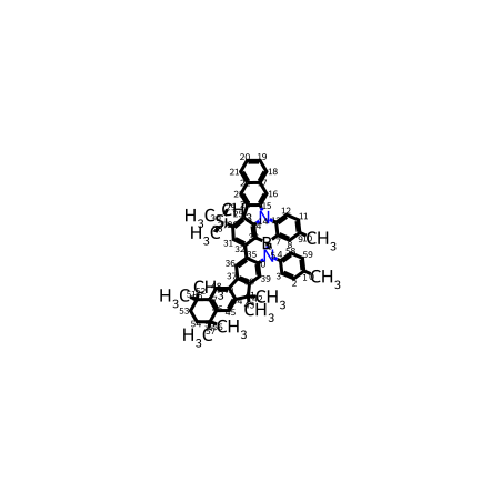 Cc1ccc(N2B3c4cc(C)ccc4-n4c5cc6ccccc6cc5c5c([Si](C)(C)C)cc(c3c54)-c3cc4c(cc32)C(C)(C)c2cc3c(cc2-4)C(C)(C)CCC3(C)C)cc1